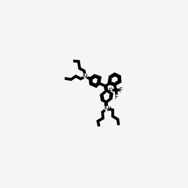 CCCCN(CCCC)c1ccc(C(=C2C=CC(=[N+](CCCC)CCCC)C=C2)c2ccccc2C(F)(F)F)cc1